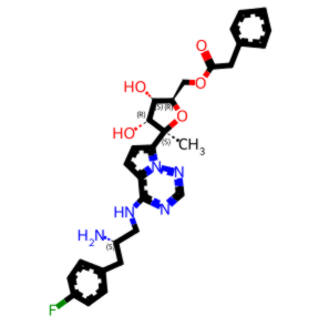 C[C@@]1(c2ccc3c(NC[C@@H](N)Cc4ccc(F)cc4)ncnn23)O[C@H](COC(=O)Cc2ccccc2)[C@@H](O)[C@H]1O